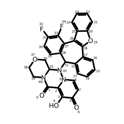 O=C1c2c(O)c(=O)ccn2N(C2c3ccccc3-c3oc4ccccc4c3-c3c2ccc(F)c3F)C2COCCN12